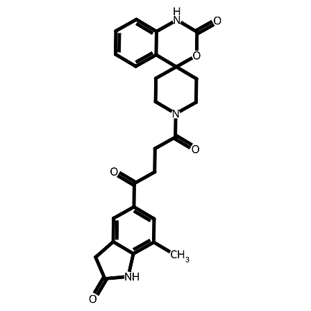 Cc1cc(C(=O)CCC(=O)N2CCC3(CC2)OC(=O)Nc2ccccc23)cc2c1NC(=O)C2